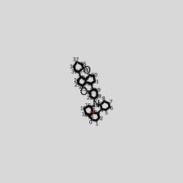 c1ccc(-c2ccccc2N(c2ccccc2)c2ccc3c(c2)Oc2ccc4c5c(ccc-3c25)Oc2ccccc2-4)cc1